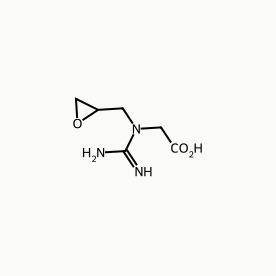 N=C(N)N(CC(=O)O)CC1CO1